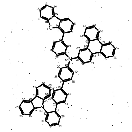 c1cc(-c2cccc3c2oc2ccccc23)cc(N(c2ccc(-c3ccc(-c4ccccc4-n4c5ccccc5c5ccccc54)cc3)cc2)c2ccc3c4ccccc4c4ccccc4c3c2)c1